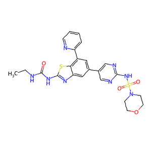 CCNC(=O)Nc1nc2cc(-c3cnc(NS(=O)(=O)N4CCOCC4)nc3)cc(-c3ccccn3)c2s1